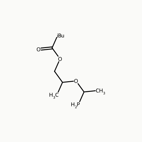 CCC(C)C(=O)OCC(C)OC(C)P